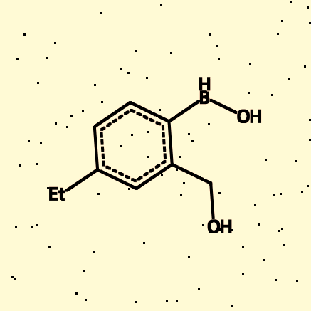 CCc1ccc(BO)c(CO)c1